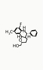 Cc1cc(F)c2c(c1)[C@@H]1O[C@H](CO)CC[C@@H]1[C@@H](c1ccccc1)N2